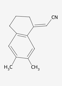 Cc1cc2c(cc1C)C(=CC#N)CCC2